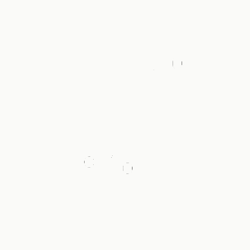 CCOC(=O)c1ccc2c(c1)CC(=O)CC2